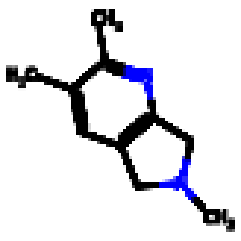 Cc1cc2c(nc1C)CN(C)C2